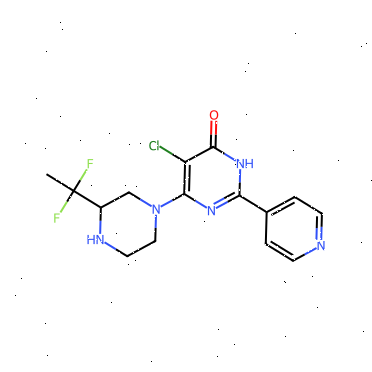 CC(F)(F)C1CN(c2nc(-c3ccncc3)[nH]c(=O)c2Cl)CCN1